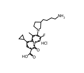 Cc1c(N2CCC(CCCCN)C2)c(F)cn2c(=O)c(C(=O)O)cc(C3CC3)c12.Cl